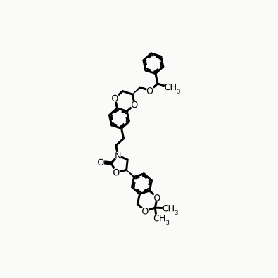 CC(OC[C@@H]1COc2ccc(CCN3C[C@@H](c4ccc5c(c4)COC(C)(C)O5)OC3=O)cc2O1)c1ccccc1